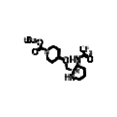 CC(C)(C)OC(=O)N1CCC(OC[C@@H]2NCCC[C@@H]2NC(=O)C(F)(F)F)CC1